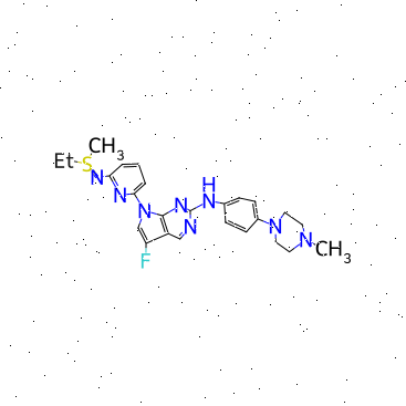 CC/S(C)=N/c1cccc(-n2cc(F)c3cnc(Nc4ccc(N5CCN(C)CC5)cc4)nc32)n1